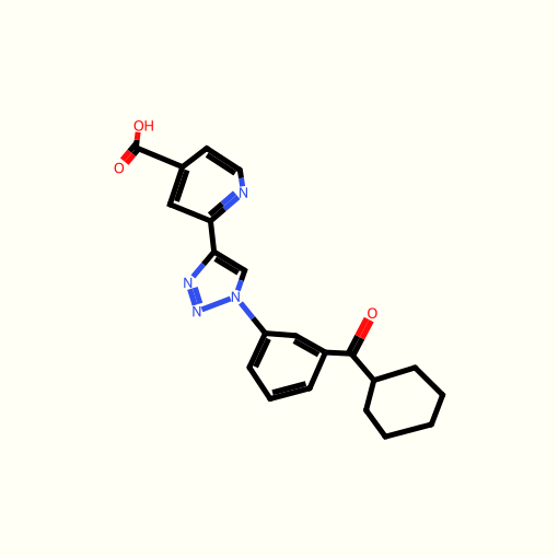 O=C(O)c1ccnc(-c2cn(-c3cccc(C(=O)C4CCCCC4)c3)nn2)c1